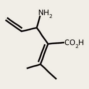 C=CC(N)C(C(=O)O)=C(C)C